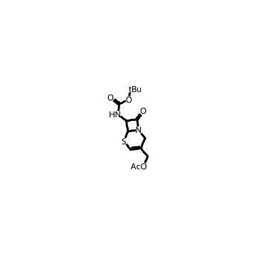 CC(=O)OCC1=CSC2C(NC(=O)OC(C)(C)C)C(=O)N2C1